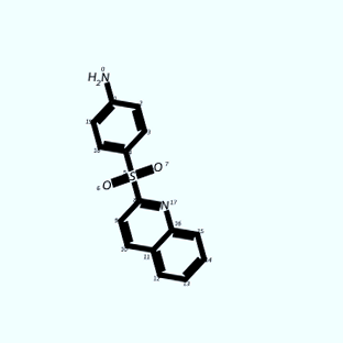 Nc1ccc(S(=O)(=O)c2ccc3ccccc3n2)cc1